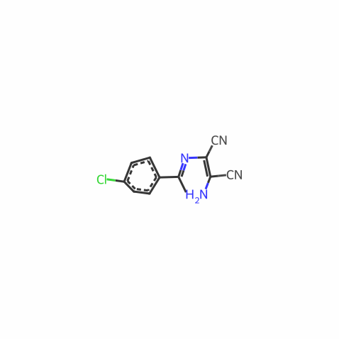 CC(=NC(C#N)=C(N)C#N)c1ccc(Cl)cc1